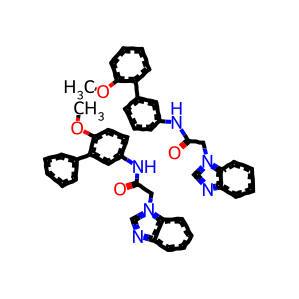 COc1ccc(NC(=O)Cn2cnc3ccccc32)cc1-c1ccccc1.COc1ccccc1-c1cccc(NC(=O)Cn2cnc3ccccc32)c1